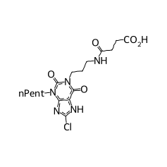 CCCCCn1c(=O)n(CCCNC(=O)CCC(=O)O)c(=O)c2[nH]c(Cl)nc21